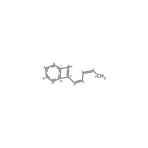 C/C=C\C=C/C1=Pc2ccccc21